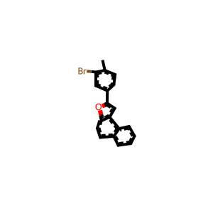 Cc1ccc(-c2cc3c(ccc4ccccc43)o2)cc1Br